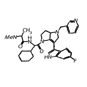 CNC(C)C(=O)NC(C(=O)N1CCC2C1=C(c1c[nH]c3cc(F)ccc13)CN2Cc1cccnc1)C1CCCCC1